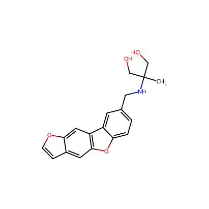 CC(CO)(CO)NCc1ccc2oc3cc4ccoc4cc3c2c1